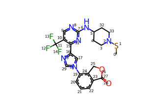 CSN1CCC(Nc2ncc(C(F)(F)F)c(-c3cn(-c4cccc5c4COC5=O)cn3)n2)CC1